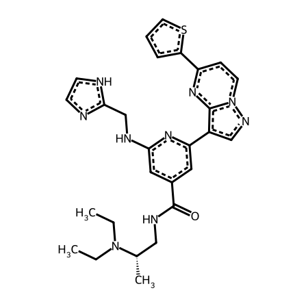 CCN(CC)[C@@H](C)CNC(=O)c1cc(NCc2ncc[nH]2)nc(-c2cnn3ccc(-c4cccs4)nc23)c1